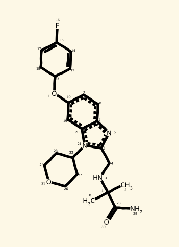 CC(C)(NCc1nc2ccc(OC3C=CC(F)=CC3)cc2n1C1CCOCC1)C(N)=O